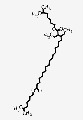 CCC(CCCCCCCCCCCCCCCCC(=O)OCCCCCC(C)C)C(CC)C(=O)OCCCCCC(C)C